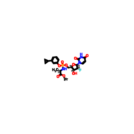 CC(C)OC(=O)[C@H](C)NP(=O)(OC[C@H]1O[C@@H](n2ccc(=O)[nH]c2=O)[C@H](F)[C@@H]1O)Oc1cccc(C2CC2)c1